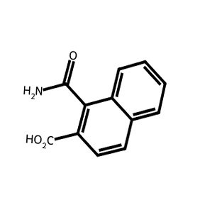 NC(=O)c1c(C(=O)O)ccc2ccccc12